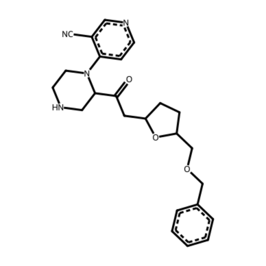 N#Cc1cnccc1N1CCNCC1C(=O)CC1CCC(COCc2ccccc2)O1